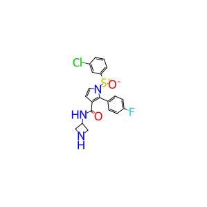 O=C(NC1CNC1)c1ccn([S+]([O-])c2cccc(Cl)c2)c1-c1ccc(F)cc1